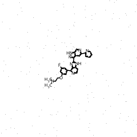 CN(C)CCOc1cc(F)cc(-c2nccc3[nH]c(-c4n[nH]c5cnc(-c6ccccn6)cc45)nc23)c1